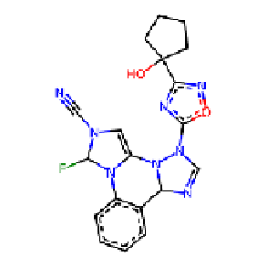 N#CN1C=C2N(c3ccccc3C3N=CN(c4nc(C5(O)CCCC5)no4)N23)C1F